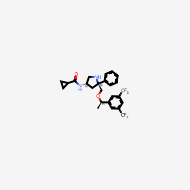 C[C@@H](OC[C@@]1(c2ccccc2)C[C@H](NC(=O)C2CC2)CN1)c1cc(C(F)(F)F)cc(C(F)(F)F)c1